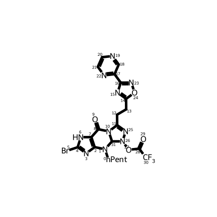 CCCCCN1c2nc(Br)[nH]c2C(=O)N2C(CCc3nc(-c4cnccn4)no3)=NN(OC(=O)C(F)(F)F)C21